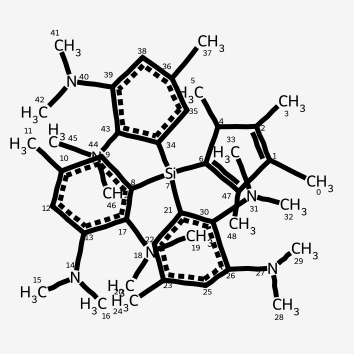 CC1=C(C)C(C)C([Si](c2cc(C)cc(N(C)C)c2N(C)C)(c2cc(C)cc(N(C)C)c2N(C)C)c2cc(C)cc(N(C)C)c2N(C)C)=C1C